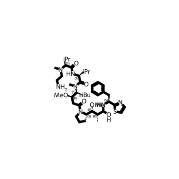 CC[C@H](C)[C@@H]([C@@H](CC(=O)N1CCC[C@H]1[C@H](OC)[C@@H](C)C(O)N[C@@H](Cc1ccccc1)c1nccs1)OC)N(C)C(=O)[C@@H](NC(=O)[C@H](C(C)C)N(C)CCN)C(C)C